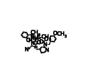 COc1ccc(CN(C(=O)OC(C)(C)C)c2cc(C[C@H]3C(=O)N(C(=O)N[C@H](C)c4ccccc4)C3C#N)ccn2)cc1